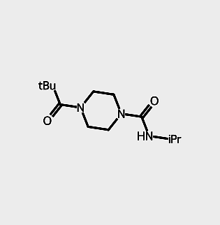 CC(C)NC(=O)N1CCN(C(=O)C(C)(C)C)CC1